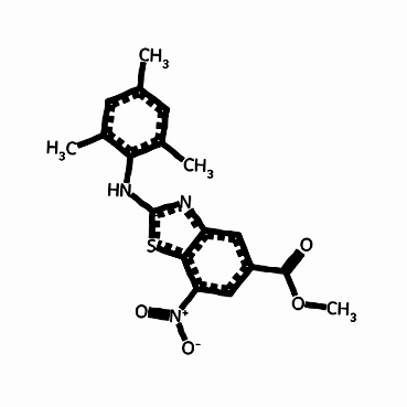 COC(=O)c1cc([N+](=O)[O-])c2sc(Nc3c(C)cc(C)cc3C)nc2c1